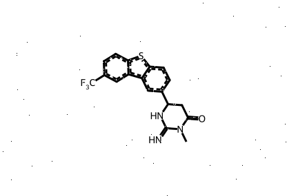 CN1C(=N)NC(c2ccc3sc4ccc(C(F)(F)F)cc4c3c2)CC1=O